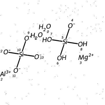 O.O.[Al+3].[Mg+2].[O-][Si](O)(O)O.[O-][Si]([O-])([O-])[O-]